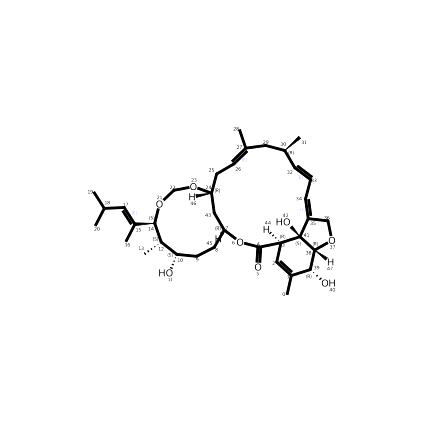 CC1=C[C@H]2C(=O)O[C@@H]3CC[C@H](O)[C@H](C)[C@@H](/C(C)=C/C(C)C)OCO[C@H](C/C=C(\C)C[C@@H](C)/C=C/C=C4\CO[C@H]([C@@H]1O)[C@@]42O)C3